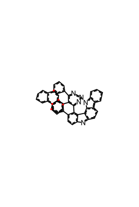 c1ccc(-c2ccc3c(c2-c2nnnc(-c4ccccc4)c2-c2cccc4c2ccc2ccccc24)-c2c4c(ccc2=N3)=c2ccccc2=N4)cc1